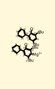 CC(C)(C)c1cc(-c2ccccc2)c([O-])c(C(C)(C)C)c1.CC(C)(C)c1cc(-c2ccccc2)c([O-])c(C(C)(C)C)c1.[Mg+2]